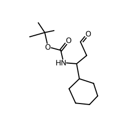 CC(C)(C)OC(=O)NC(CC=O)C1CCCCC1